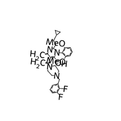 C=C1N=C(CCC2CC2)N(c2c(OC)cccc2OC)C(O)=C1C(=C)N1CCN(Cc2cccc(F)c2F)CC1